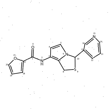 O=C(Nc1ccn2c1CSC2c1cccnc1)c1ccco1